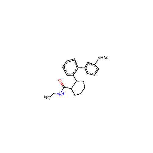 CC(=O)Nc1cccc(-c2ccccc2C2CCCCC2C(=O)NCC#N)c1